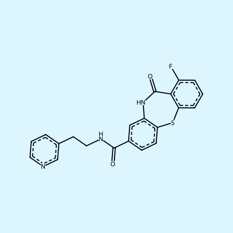 O=C(NCCc1cccnc1)c1ccc2c(c1)NC(=O)c1c(F)cccc1S2